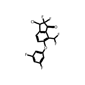 O=C1c2c(ccc(Oc3cc(F)cc(F)c3)c2C(F)F)C(Cl)C1(F)F